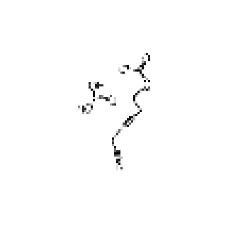 N#CCC#CCCOC(=O)Cl.O=C(O)O